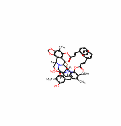 COc1cc2c(cc1O)CCN[C@]21CS[C@@H]2c3c(OC(=O)/C=C/c4ccccc4)c(C)c4c(c3[C@H](COC1=O)N1C2[C@H]2c3c(cc(C)c(OC)c3OC(=O)/C=C/c3ccccc3)C[C@@H]([C@@H]1O)N2C)OCO4